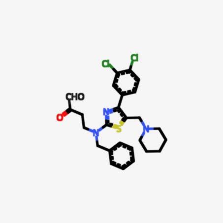 O=CC(=O)CCN(Cc1ccccc1)c1nc(-c2ccc(Cl)c(Cl)c2)c(CN2CCCCC2)s1